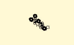 O=C(NS(=O)(=O)c1cccc(Cl)c1)c1ccc2c(c1)c(=O)n(-c1ccccc1)n2C1CCCCC1